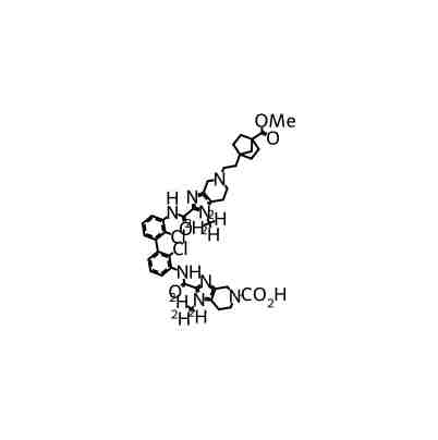 [2H]C([2H])([2H])n1c(C(=O)Nc2cccc(-c3cccc(NC(=O)c4nc5c(n4C([2H])([2H])[2H])CCN(C(=O)O)C5)c3Cl)c2Cl)nc2c1CCN(CCC13CCC(C(=O)OC)(CC1)C3)C2